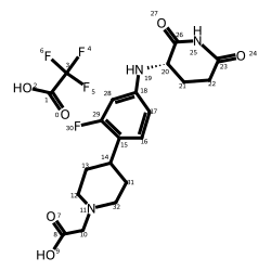 O=C(O)C(F)(F)F.O=C(O)CN1CCC(c2ccc(N[C@H]3CCC(=O)NC3=O)cc2F)CC1